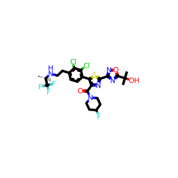 C[C@H](NCCc1ccc(-c2sc(-c3noc(C(C)(C)O)n3)nc2C(=O)N2CCC(F)CC2)c(Cl)c1Cl)C(F)(F)F